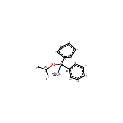 C[C@H](I)O[Si](c1ccccc1)(c1ccccc1)C(C)(C)C